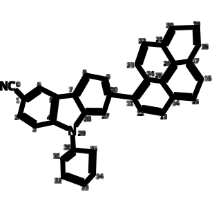 N#Cc1ccc2c(c1)c1ccc(-c3ccc4ccc5cccc6ccc3c4c56)cc1n2-c1ccccc1